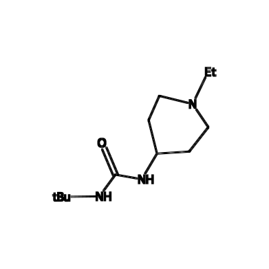 CCN1CCC(NC(=O)NC(C)(C)C)CC1